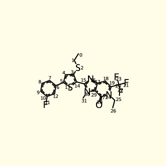 CCSc1cc(-c2cccc(F)c2)sc1-c1nc2cc(C(F)(F)F)n(CC)c(=O)c2n1C